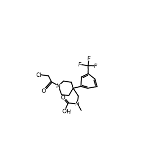 CN(CC1(c2cccc(C(F)(F)F)c2)CCN(C(=O)CCl)CC1)C(=O)O